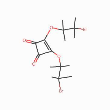 CC(C)(Br)C(C)(C)Oc1c(OC(C)(C)C(C)(C)Br)c(=O)c1=O